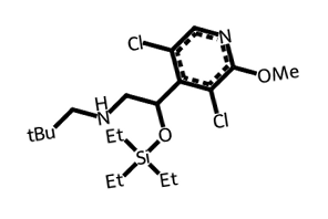 CC[Si](CC)(CC)OC(CNCC(C)(C)C)c1c(Cl)cnc(OC)c1Cl